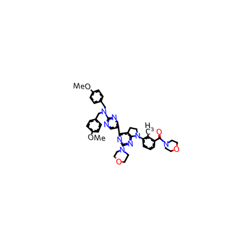 COc1ccc(CN(Cc2ccc(OC)cc2)c2ncc(-c3nc(N4CCOCC4)nc4c3CCN4c3cccc(C(=O)N4CCOCC4)c3C)cn2)cc1